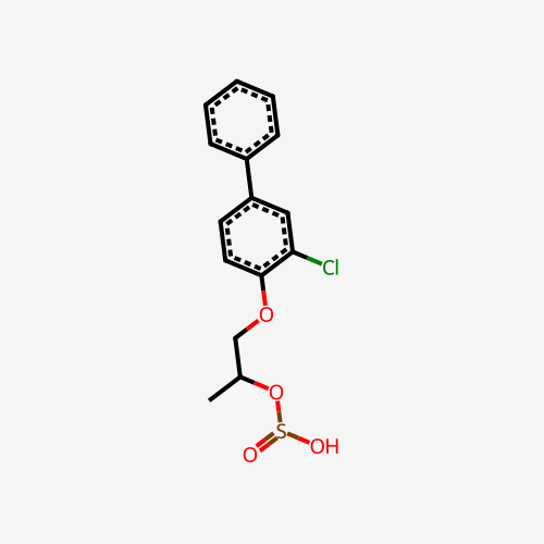 CC(COc1ccc(-c2ccccc2)cc1Cl)OS(=O)O